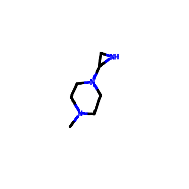 CN1CCN(C2CN2)CC1